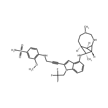 COc1cc(S(N)(=O)=O)ccc1NCC#Cc1cc2c(N[C@@]3(C)[C@H]4CCN(C)CNC5[C@H]4[C@H]53)cccc2n1CC(F)(F)F